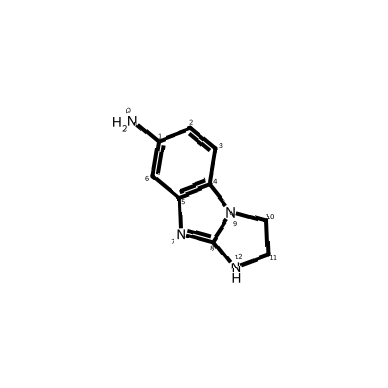 Nc1ccc2c(c1)nc1n2CCN1